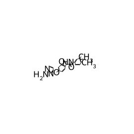 Cc1ccc(NC(=O)c2coc3cc(Oc4ccnc(N)n4)ccc23)cc1C